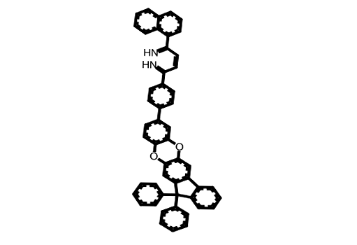 N=C(/C=C\C(=N)c1cccc2ccccc12)c1ccc(-c2ccc3c(c2)Oc2cc4c(cc2O3)C(c2ccccc2)(c2ccccc2)c2ccccc2-4)cc1